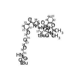 C[C@@H](C(=O)N[C@H](C(=O)N1CCC[C@@H]1c1nc(C(=O)c2cccc(OCCOCCOCCNC(=O)OC(C)(C)C)c2)cs1)C1CCCCC1)N(C)C(=O)OC(C)(C)C